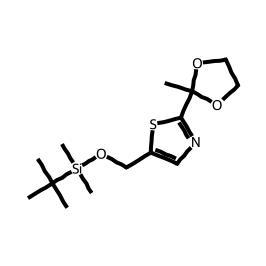 CC1(c2ncc(CO[Si](C)(C)C(C)(C)C)s2)OCCO1